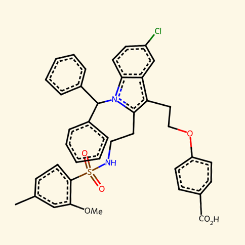 COc1cc(C)ccc1S(=O)(=O)NCCc1c(CCOc2ccc(C(=O)O)cc2)c2cc(Cl)ccc2n1C(c1ccccc1)c1ccccc1